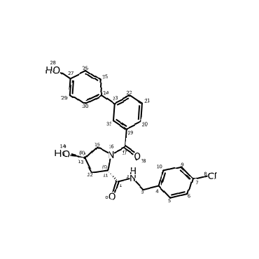 O=C(NCc1ccc(Cl)cc1)[C@@H]1C[C@@H](O)CN1C(=O)c1cccc(-c2ccc(O)cc2)c1